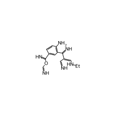 CCN/C=C(\C=N)C(=N)c1cc(C(=N)OC=N)ccc1N